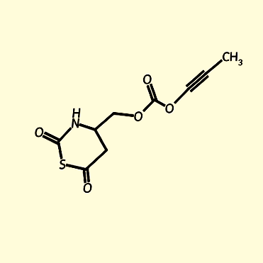 CC#COC(=O)OCC1CC(=O)SC(=O)N1